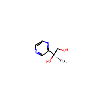 C[C@@](O)(CO)c1cnccn1